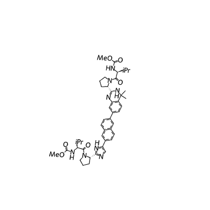 COC(=O)N[C@H](C(=O)N1CCC[C@H]1C1=Nc2cc(-c3ccc4cc(-c5cnc([C@@H]6CCCN6C(=O)[C@@H](NC(=O)OC)C(C)C)[nH]5)ccc4c3)ccc2C(C)(C)N1)C(C)C